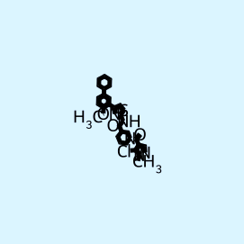 COc1ccc(C2CCCCC2)cc1-c1csc(NC(=O)C2CCCN(C(=O)c3cnn(C)c3Cl)C2)n1